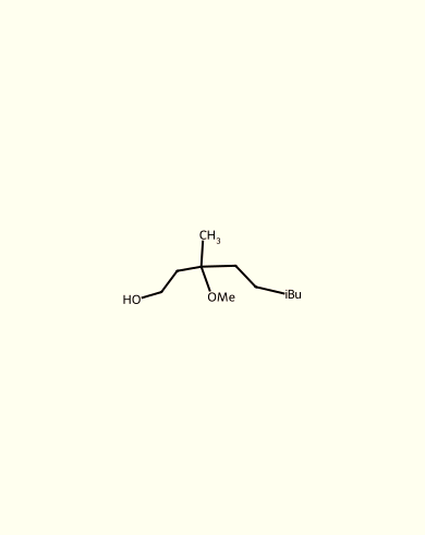 CCC(C)CCC(C)(CCO)OC